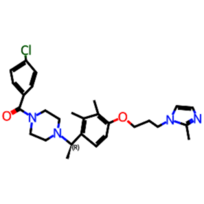 Cc1c(OCCCn2ccnc2C)ccc([C@@H](C)N2CCN(C(=O)c3ccc(Cl)cc3)CC2)c1C